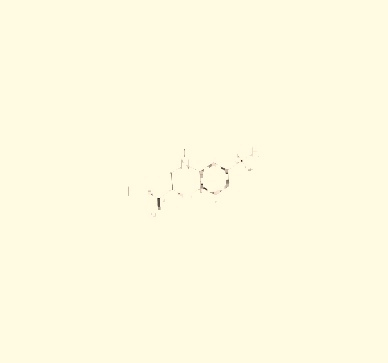 CN1CC(C(=O)O)Oc2ccc(C(F)(F)F)cc21